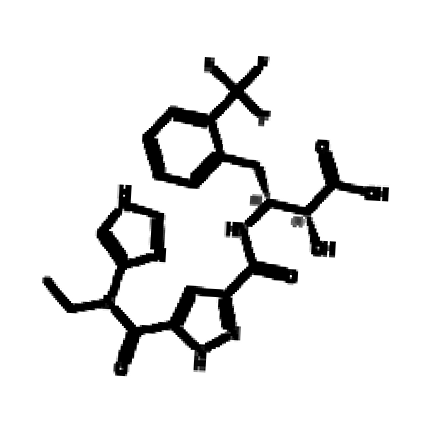 CCN(C(=O)c1cc(C(=O)N[C@H](Cc2ccccc2C(F)(F)F)[C@@H](O)C(=O)O)n[nH]1)c1c[nH]cn1